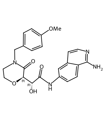 COc1ccc(CN2CCO[C@H]([C@@H](O)C(=O)Nc3ccc4c(N)nccc4c3)C2=O)cc1